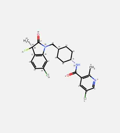 Cc1ncc(Cl)cc1C(=O)N[C@H]1CC[C@H](CN2C(=O)[C@](C)(F)c3ccc(Cl)cc32)CC1